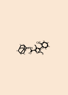 Cc1c(C(=O)NC2C3CC4CC(C3)CC2C4)nn(C)c1-c1ccccc1Cl